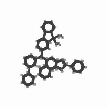 CC1(C)c2ccccc2-c2ccc(N(c3cccc(-c4ccccc4)c3)c3cc4nc(-c5ccccc5)oc4c4ccccc34)cc21